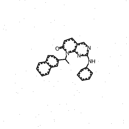 CC(c1ccc2ccccc2c1)n1c(=O)ccc2cnc(Nc3ccccc3)nc21